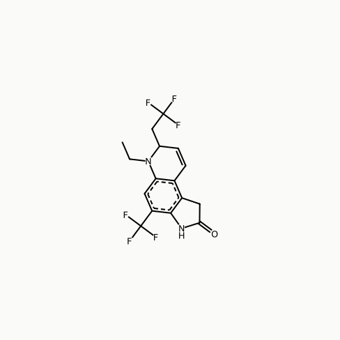 CCN1c2cc(C(F)(F)F)c3c(c2C=CC1CC(F)(F)F)CC(=O)N3